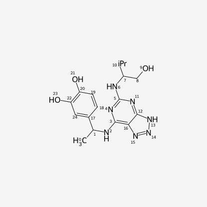 CC(Nc1nc(NC(CO)C(C)C)nc2[nH]nnc12)c1ccc(O)c(O)c1